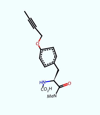 CC#CCOc1ccc(C[C@H](NC(=O)O)C(=O)NC)cc1